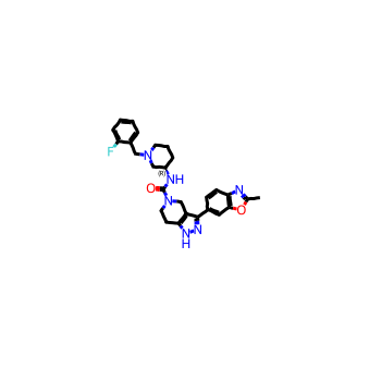 Cc1nc2ccc(-c3n[nH]c4c3CN(C(=O)N[C@@H]3CCCN(Cc5ccccc5F)C3)CC4)cc2o1